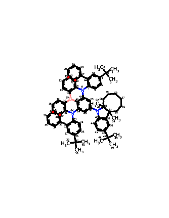 CC(C)(C)c1ccc(N2c3ccccc3B3c4ccccc4N(c4ccc(C(C)(C)C)cc4-c4ccccc4)c4cc(N5c6ccc(C(C)(C)C)cc6C6(C)CCCCCCC56C)cc2c43)c(-c2ccccc2)c1